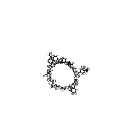 CC[C@H](C)[C@@H]1NC(=O)[C@H](CC(C)C)N(C)C(=O)C[C@@H](C(=O)N2CCN(C3COC3)CC2)N(C)C(=O)[C@H](C2CCCCC2)N(C)C(=O)C2(CCCC2)NC(=O)[C@@H]2CCCN2C(=O)[C@H](CCc2ccc(C(F)(F)F)c(Cl)c2)NC(=O)CN(C)C(=O)[C@H](CC2CCCCC2)N(C)C(=O)CN(C)C(=O)CN(C)C1=O